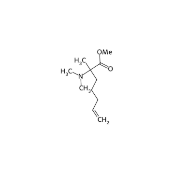 C=CCCCC(C)(C(=O)OC)N(C)C